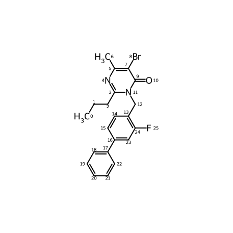 CCCc1nc(C)c(Br)c(=O)n1Cc1ccc(-c2ccccc2)cc1F